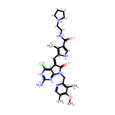 COc1c(C)cnc(CN2C(=O)C(=Cc3[nH]cc(C(=O)NCCN4CCCC4)c3C)c3c(Cl)nc(N)nc32)c1C